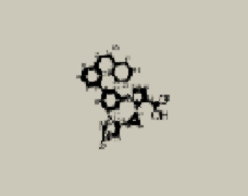 C[C@@H](Cc1cccc(-c2cccc(-n3ncc(C(=O)O)c3[C@@H]3C[C@H]3c3cn(C)nn3)c2)c1)C1CCCCC1